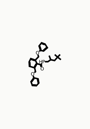 CC(CPC(=O)c1c(COc2ccccc2)cccc1COc1ccccc1)CC(C)(C)C